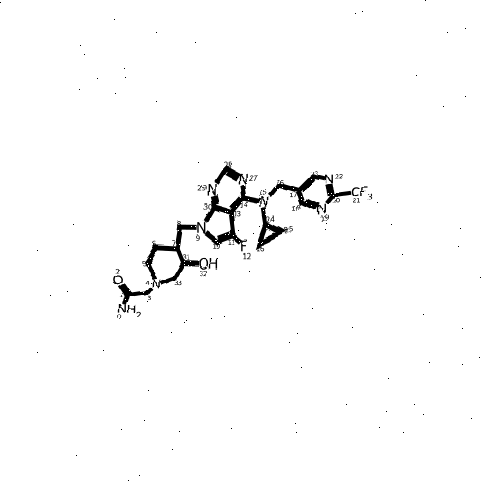 NC(=O)CN1CCC(Cn2cc(F)c3c(N(Cc4cnc(C(F)(F)F)nc4)C4CC4)ncnc32)C(O)C1